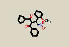 COc1ccccc1[C@@H](C[N+](=O)[O-])C(C(=O)c1ccccc1)C(=O)c1ccccc1